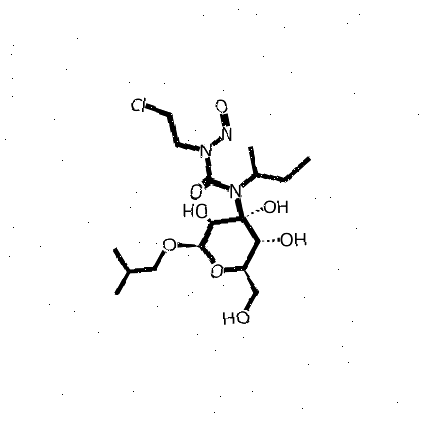 CCC(C)N(C(=O)N(CCCl)N=O)[C@@]1(O)[C@H](O)[C@@H](CO)O[C@@H](OCC(C)C)[C@@H]1O